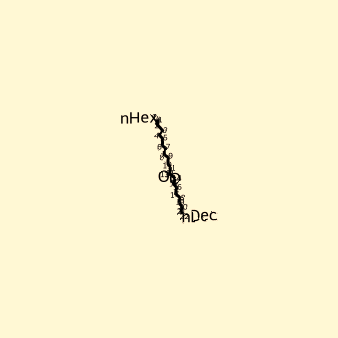 CCCCCC/C=C/CCCCCCCCCC(=O)OCCCCCCCCCCCCCCCCC